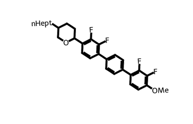 CCCCCCCC1CCC(c2ccc(-c3ccc(-c4ccc(OC)c(F)c4F)cc3)c(F)c2F)OC1